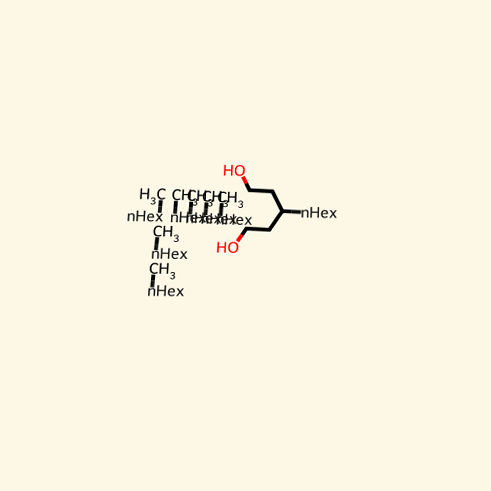 CCCCCCC.CCCCCCC.CCCCCCC.CCCCCCC.CCCCCCC.CCCCCCC.CCCCCCC.CCCCCCC(CCO)CCO